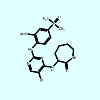 COc1cc(P(C)(C)=O)ccc1Nc1ncc(Cl)c(NC2CCCCNC2=O)n1